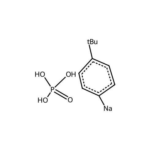 CC(C)(C)c1cc[c]([Na])cc1.O=P(O)(O)O